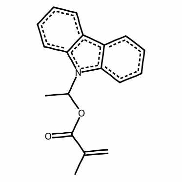 C=C(C)C(=O)OC(C)n1c2ccccc2c2ccccc21